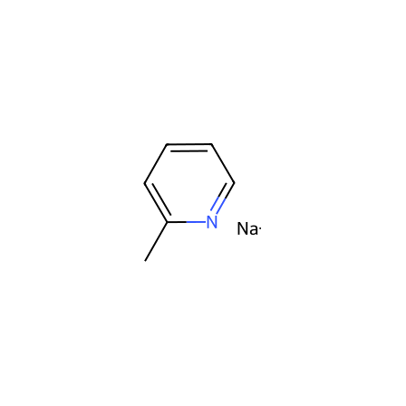 Cc1ccccn1.[Na]